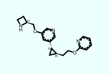 c1ccc(OCC[C@H]2C[C@@H]2c2cncc(OC[C@@H]3CCN3)c2)nc1